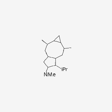 CNC1CC2CC(C)C3CC3C(C)CC2C1C(C)C